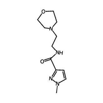 Cn1ccc(C(=O)NCCN2CCOCC2)n1